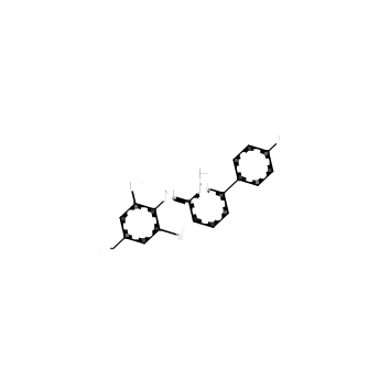 CC(C)c1cc(Cl)cc(C(C)C)c1/N=c1\cccc(-c2ccc(Cl)cc2)[nH]1